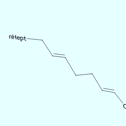 CCCCCCCCC=CCCC=COC(C)=O